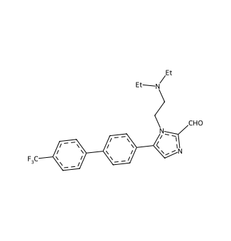 CCN(CC)CCn1c(-c2ccc(-c3ccc(C(F)(F)F)cc3)cc2)cnc1C=O